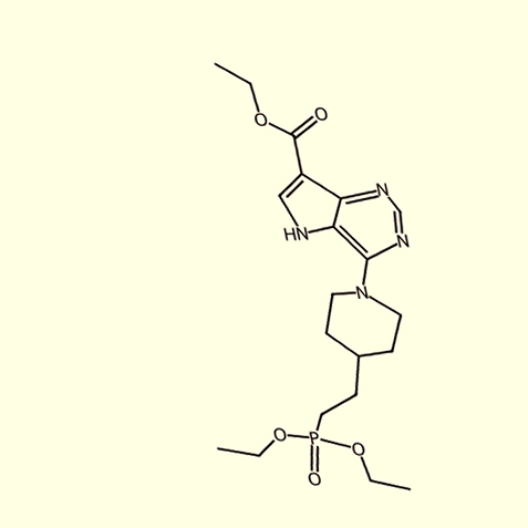 CCOC(=O)c1c[nH]c2c(N3CCC(CCP(=O)(OCC)OCC)CC3)ncnc12